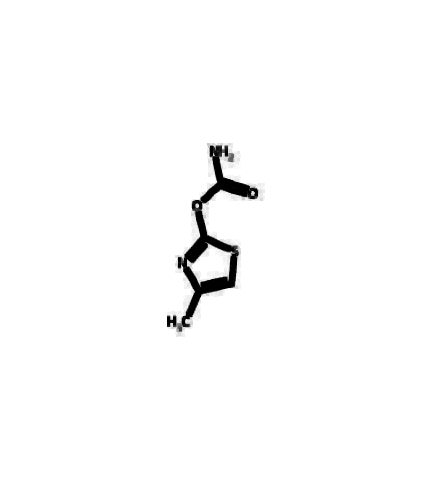 Cc1csc(OC(N)=O)n1